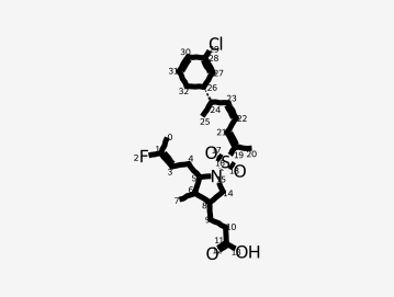 C/C(F)=C\CC1C(C)C(CCC(=O)O)CN1S(=O)(=O)/C(C)=C/C=C\C(C)[C@H]1C=C(Cl)C=CC1